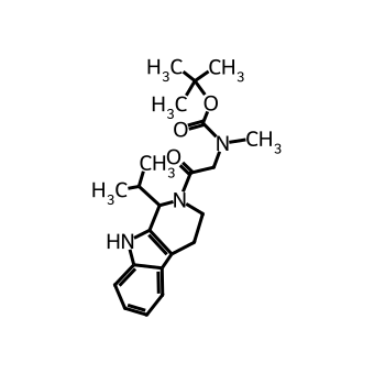 CC(C)C1c2[nH]c3ccccc3c2CCN1C(=O)CN(C)C(=O)OC(C)(C)C